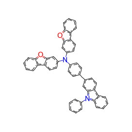 c1ccc(-n2c3ccccc3c3ccc(-c4ccc(N(c5ccc6c(c5)oc5ccccc56)c5ccc6c(c5)oc5ccccc56)cc4)cc32)cc1